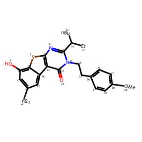 CCCCc1cc(O)c2sc3nc(C(CC)CCCC)n(CCc4ccc(OC)cc4)c(=O)c3c2c1